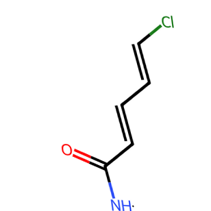 [NH]C(=O)C=CC=CCl